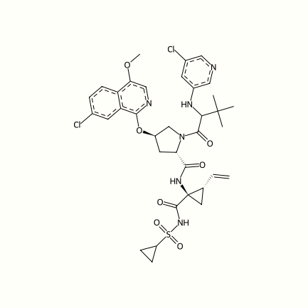 C=C[C@@H]1C[C@]1(NC(=O)[C@@H]1C[C@@H](Oc2ncc(OC)c3ccc(Cl)cc23)CN1C(=O)C(Nc1cncc(Cl)c1)C(C)(C)C)C(=O)NS(=O)(=O)C1CC1